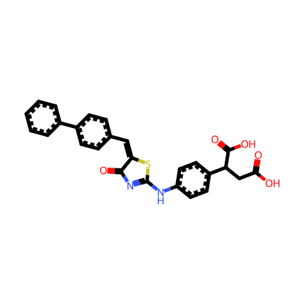 O=C(O)CC(C(=O)O)c1ccc(NC2=NC(=O)/C(=C\c3ccc(-c4ccccc4)cc3)S2)cc1